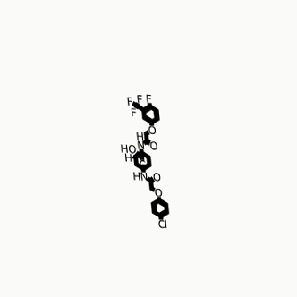 O=C(COc1ccc(Cl)cc1)NC12CCC(NC(=O)COc3ccc(F)c(C(F)(F)F)c3)(CC1)[C@@H](O)C2